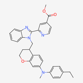 CCc1ccc(N(C)c2ccc3c(c2)OCCC3Cn2c(-c3cc(C(=O)OC)ccn3)nc3ccccc32)cc1